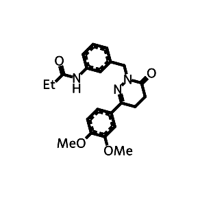 CCC(=O)Nc1cccc(CN2N=C(c3ccc(OC)c(OC)c3)CCC2=O)c1